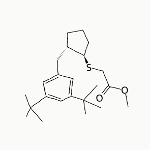 COC(=O)CS[C@@H]1CCC[C@H]1Cc1cc(C(C)(C)C)cc(C(C)(C)C)c1